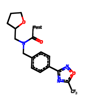 CCCC(C)C(=O)N(Cc1ccc(-c2noc(C(F)(F)F)n2)cc1)CC1CCCO1